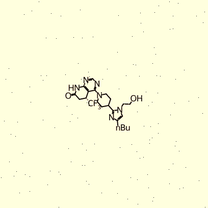 CCCCc1cn(CCO)c(C2CCN(c3ncnc4c3[C@H](C(F)(F)F)CC(=O)N4)CC2)n1